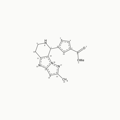 COC(=O)c1csc(C2NCCc3nc4sc(C)nn4c32)c1